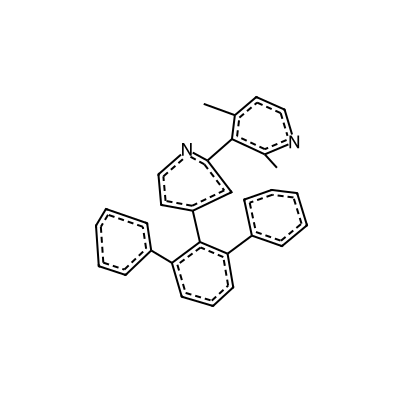 Cc1ccnc(C)c1-c1cc(-c2c(-c3ccccc3)cccc2-c2ccccc2)ccn1